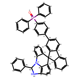 O=P(c1ccccc1)(c1ccccc1)c1ccc(-c2ccc3c(c2)C2(c4ccccc4-3)c3ccccc3N3c4c(cccc42)NC3c2ccccc2)cc1